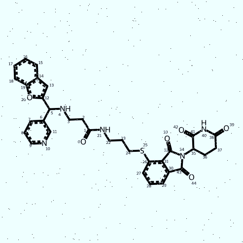 O=C(CCNC(c1cccnc1)c1cc2ccccc2o1)NCCCSc1cccc2c1C(=O)N(C1CCC(=O)NC1=O)C2=O